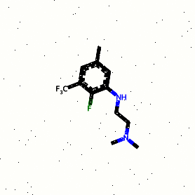 Cc1cc(NCCN(C)C)c(F)c(C(F)(F)F)c1